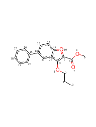 CCCOc1c(C(=O)OC)oc2ccc(-c3ccccc3)cc12